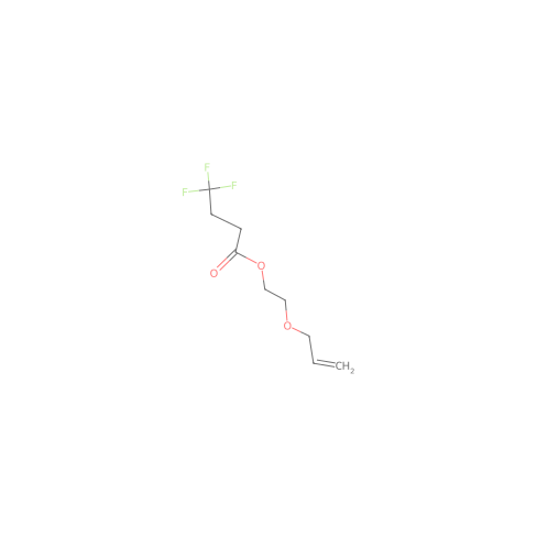 C=CCOCCOC(=O)CCC(F)(F)F